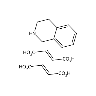 O=C(O)/C=C/C(=O)O.O=C(O)/C=C/C(=O)O.c1ccc2c(c1)CCNC2